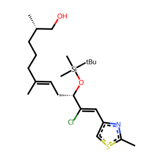 C/C(=C\C[C@H](O[Si](C)(C)C(C)(C)C)/C(Cl)=C/c1csc(C)n1)CCC[C@H](C)CO